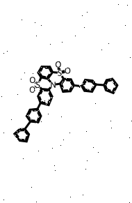 O=S1(=O)c2cc(-c3ccc(-c4ccccc4)cc3)ccc2N2c3ccc(-c4ccc(-c5ccccc5)cc4)cc3S(=O)(=O)c3cccc1c32